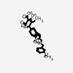 CCc1c(-c2ccc3c(c2)cc(CNCc2cccc(OC)c2)n3C)[nH]c(=O)c(C(=O)O)c1O